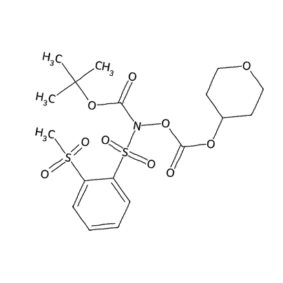 CC(C)(C)OC(=O)N(OC(=O)OC1CCOCC1)S(=O)(=O)c1ccccc1S(C)(=O)=O